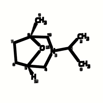 CC(C)N1C[C@H]2CC[C@@](C)(C1)O2